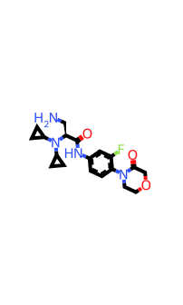 NC[C@@H](C(=O)Nc1ccc(N2CCOCC2=O)c(F)c1)N(C1CC1)C1CC1